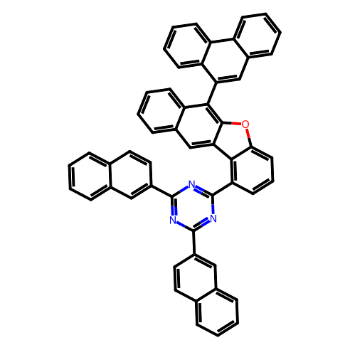 c1ccc2cc(-c3nc(-c4ccc5ccccc5c4)nc(-c4cccc5oc6c(-c7cc8ccccc8c8ccccc78)c7ccccc7cc6c45)n3)ccc2c1